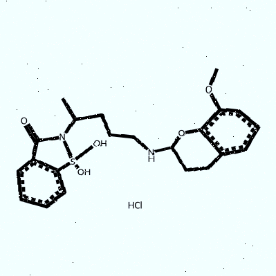 COc1cccc2c1OC(NCCCC(C)N1C(=O)c3ccccc3S1(O)O)CC2.Cl